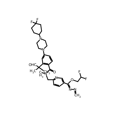 C=N/N=C(\OCC(F)F)c1ccc(CN(C)C(=O)c2ccc(N3CCN(C4CCC(F)(F)CC4)CC3)cc2C(C)(C)C=O)nc1